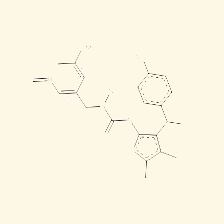 C=N/C=C(\C=C(/C)OC)CN(N)C(=S)Nc1sc(C)c(C)c1C(O)c1ccc(NC(C)=O)cc1